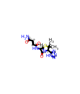 CC1(C)S[C@H]2C(NC(=O)C=CC(N)=O)C(=O)N2C1c1nnn[nH]1